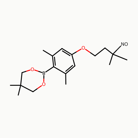 Cc1cc(OCCC(C)(C)N=O)cc(C)c1B1OCC(C)(C)CO1